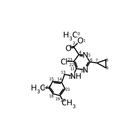 COC(=O)c1nc(C2CC2)nc(NCc2cc(C)cc(C)c2)c1Cl